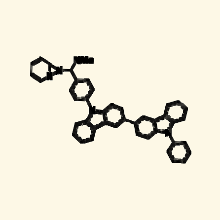 CNC(c1ccc(-n2c3ccccc3c3cc(-c4ccc5c(c4)c4ccccc4n5-c4ccccc4)ccc32)cc1)N1C2C=CC=CN21